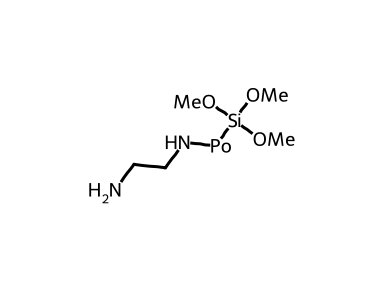 CO[Si](OC)(OC)[Po][NH]CCN